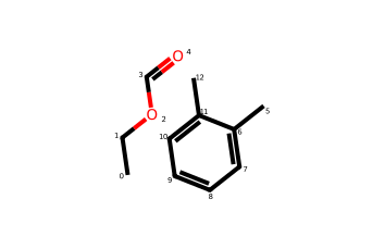 CCOC=O.Cc1ccccc1C